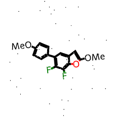 COc1ccc(-c2cc3cc(OC)oc3c(F)c2F)cc1